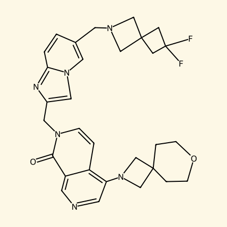 O=c1c2cncc(N3CC4(CCOCC4)C3)c2ccn1Cc1cn2cc(CN3CC4(C3)CC(F)(F)C4)ccc2n1